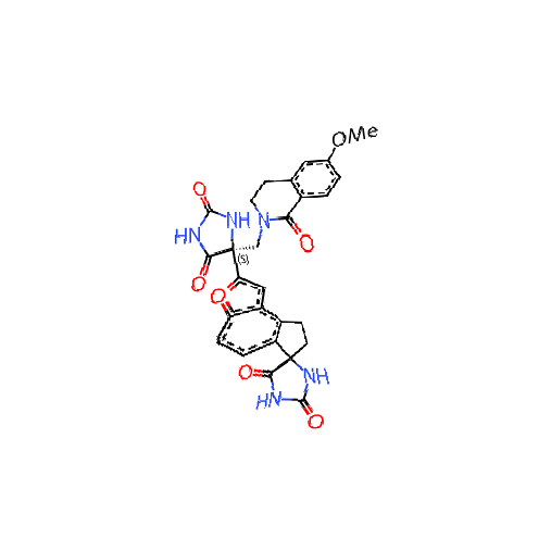 COc1ccc2c(c1)CCN(C[C@@]1(c3cc4c5c(ccc4o3)C3(CC5)NC(=O)NC3=O)NC(=O)NC1=O)C2=O